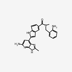 Cc1nc2c(-c3cc4cc(C(=O)N(C)Cc5ccccc5N)ccc4[nH]3)cc(N)nc2[nH]1